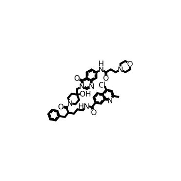 Cc1cc(Cl)c2ccc(C(=O)NCCCC(Cc3ccccc3)C(=O)N3CCC(O)(Cn4cnc5cc(NC(=O)CCN6CCOCC6)ccc5c4=O)CC3)cc2n1